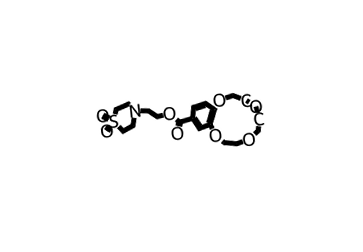 O=C(OCCN1CCS(=O)(=O)CC1)c1ccc2c(c1)OCCOCCOCCO2